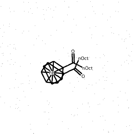 CCCCCCCCC(=O)[C]12[CH]3[CH]4[CH]5[CH]1[Fe]45321678[CH]2[CH]1[CH]6[C]7(C(=O)CCCCCCCC)[CH]28